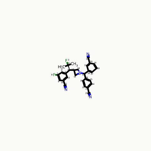 CC(C)(F)[C@H](c1cc(F)cc(C#N)c1)C1CN(C(c2ccc(C#N)cc2)c2cccc(C#N)c2)C1